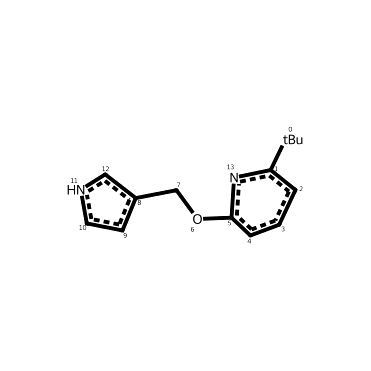 CC(C)(C)c1cccc(OCc2cc[nH]c2)n1